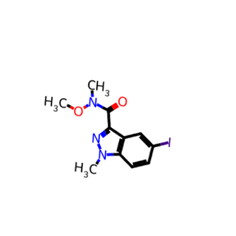 CON(C)C(=O)c1nn(C)c2ccc(I)cc12